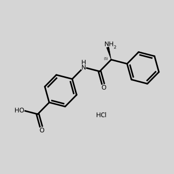 Cl.N[C@H](C(=O)Nc1ccc(C(=O)O)cc1)c1ccccc1